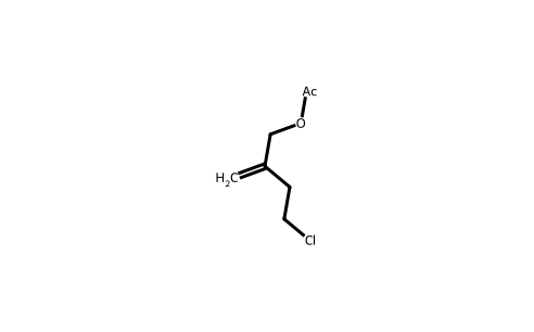 C=C(CCCl)COC(C)=O